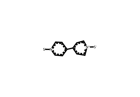 [S-][n+]1ccc(-c2cc[n+]([S-])cc2)cc1